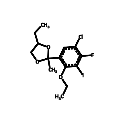 CCOc1c(C2(C)OCC(CC)O2)cc(Cl)c(F)c1I